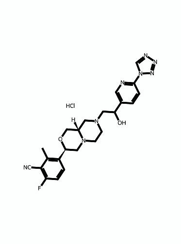 Cc1c([C@@H]2CN3CCN(CC(O)c4ccc(-n5cnnn5)nc4)C[C@H]3CO2)ccc(F)c1C#N.Cl